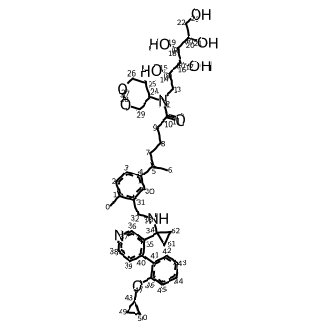 Cc1ccc(C(C)CCCC(=O)N(C[C@H](O)[C@@H](O)[C@H](O)[C@H](O)CO)C2CCOOC2)cc1CNC1(c2cnccc2-c2ccccc2OC2CC2)CC1